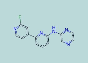 Fc1cc(-c2cccc(Nc3cnccn3)n2)ccn1